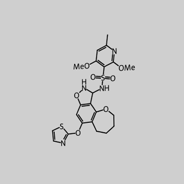 COc1cc(C)nc(OC)c1S(=O)(=O)NC1NOc2cc(Oc3nccs3)c3c(c21)OCCCC3